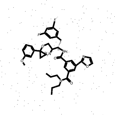 CCCN(CCC)C(=O)c1cc(C(=O)N[C@@H](Cc2cc(F)cc(F)c2)C(N)COC2(c3cccc(OC)c3)CC2)cc(-c2ncco2)c1